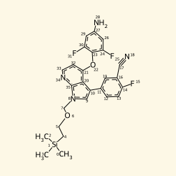 C[Si](C)(C)CCOCn1cc(-c2ccc(F)c(C#N)c2)c2c(Oc3c(F)cc(N)cc3F)ccnc21